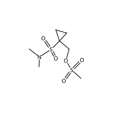 CN(C)S(=O)(=O)C1(COS(C)(=O)=O)CC1